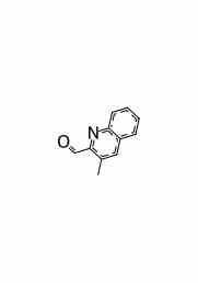 Cc1cc2ccccc2nc1C=O